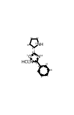 Cl.c1ccc(-c2noc([C@@H]3CCCN3)n2)cc1